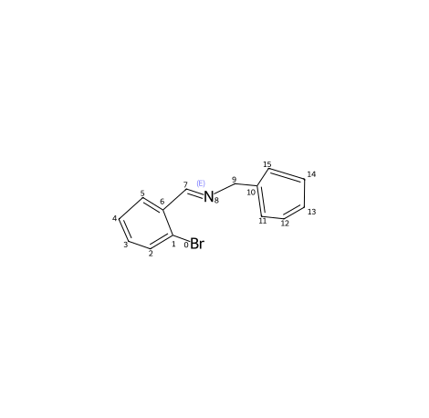 Brc1ccccc1/C=N/Cc1ccccc1